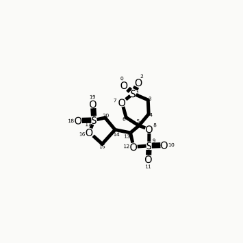 O=S1(=O)CCC2(CO1)OS(=O)(=O)OC2C1COS(=O)(=O)C1